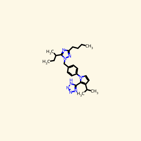 CCCCc1nc(C(C)CC)n(Cc2ccc(-n3ccc(C(C)C)c3-c3nnn[nH]3)cc2)n1